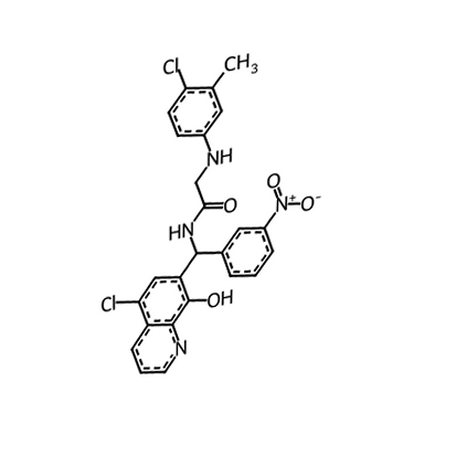 Cc1cc(NCC(=O)NC(c2cccc([N+](=O)[O-])c2)c2cc(Cl)c3cccnc3c2O)ccc1Cl